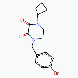 O=C1C(=O)N(C2CCC2)CCN1Cc1ccc(Br)cc1